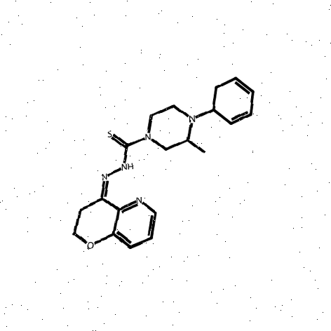 CC1CN(C(=S)N/N=C2/CCOc3cccnc32)CCN1C1C=CC=CC1